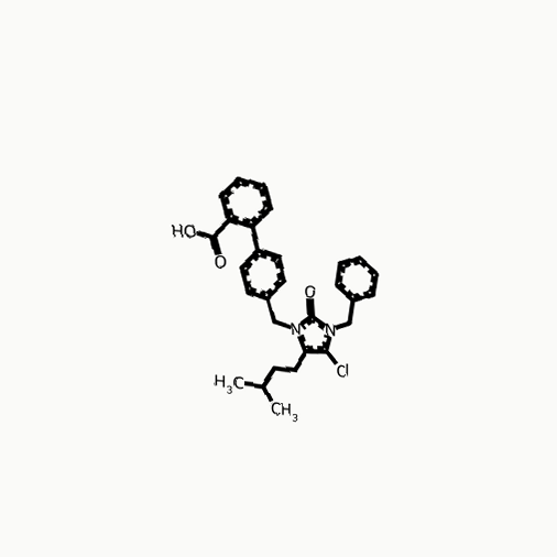 CC(C)CCc1c(Cl)n(Cc2ccccc2)c(=O)n1Cc1ccc(-c2ccccc2C(=O)O)cc1